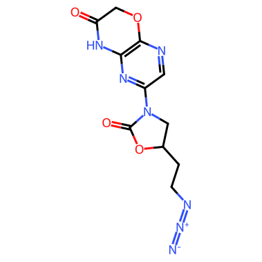 [N-]=[N+]=NCCC1CN(c2cnc3c(n2)NC(=O)CO3)C(=O)O1